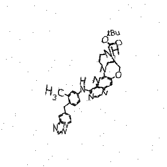 Cc1cc(Nc2ncnc3cc4c(nc23)N2CCN(C(=O)OC(C)(C)C)[C@@H](CO4)C2)ccc1Cc1ccn2ncnc2c1